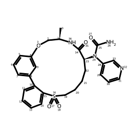 C[C@@H]1COc2cccc(c2)-c2ccccc2S(=O)(=O)CCCC[C@H](N(C(N)=O)c2cccnc2)C(=O)N1